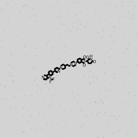 O=C1CCC(N2C(=O)c3ccc(N4CCN(CCC5CCN(c6ccc(-c7ccc8c9cnccc9n(C(F)F)c8c7)cn6)CC5)CC4)cc3C2=O)C(=O)N1